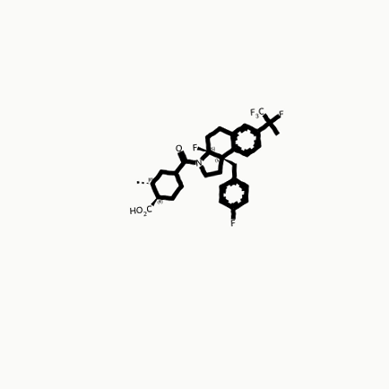 C[C@@H]1CC(C(=O)N2CC[C@@]3(Cc4ccc(F)cc4)c4ccc(C(C)(F)C(F)(F)F)cc4CC[C@@]23F)CC[C@H]1C(=O)O